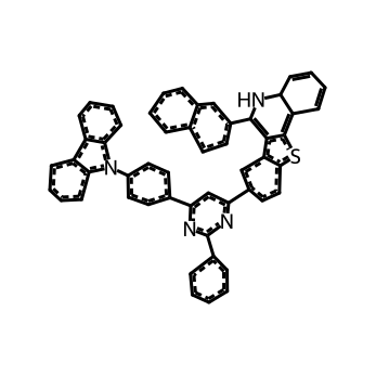 C1=CC2=c3sc4ccc(-c5cc(-c6ccc(-n7c8ccccc8c8ccccc87)cc6)nc(-c6ccccc6)n5)cc4c3=C(c3ccc4ccccc4c3)NC2C=C1